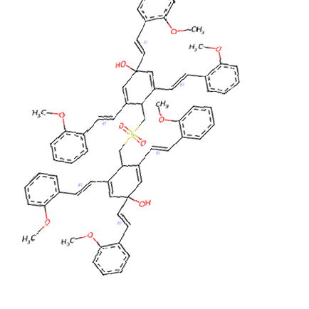 COc1ccccc1/C=C/C1=CC(O)(/C=C/c2ccccc2OC)C=C(/C=C/c2ccccc2OC)C1CS(=O)(=O)CC1C(/C=C/c2ccccc2OC)=CC(O)(/C=C/c2ccccc2OC)C=C1/C=C/c1ccccc1OC